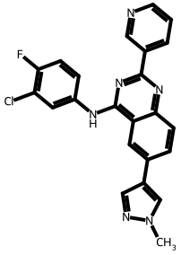 Cn1cc(-c2ccc3nc(-c4cccnc4)nc(Nc4ccc(F)c(Cl)c4)c3c2)cn1